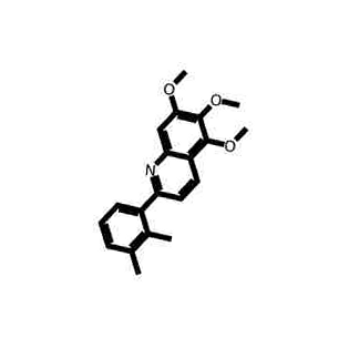 COc1cc2nc(-c3cccc(C)c3C)ccc2c(OC)c1OC